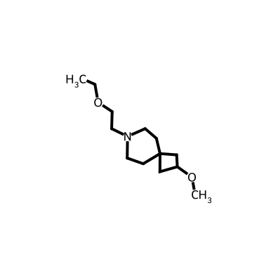 CCOCCN1CCC2(CC1)CC(OC)C2